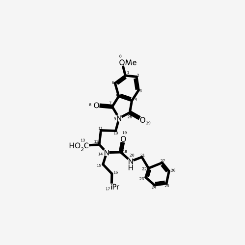 COc1ccc2c(c1)C(=O)N(CCC(C(=O)O)N(CCC(C)C)C(=O)NCc1ccccc1)C2=O